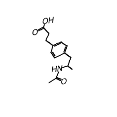 CC(=O)NC(C)Cc1ccc(CCC(=O)O)cc1